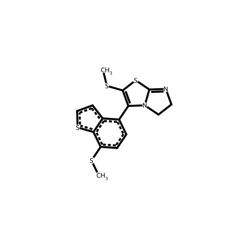 CSC1=C(c2ccc(SC)c3sccc23)N2CCN=C2S1